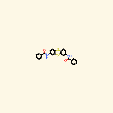 O=C(Nc1ccc2c(c1)Sc1cc(NC(=O)c3ccccc3)ccc1S2)c1ccccc1